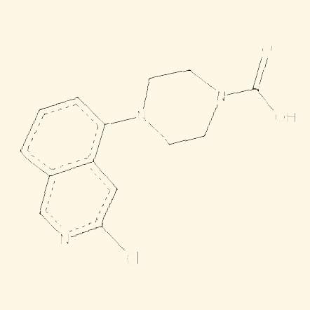 O=C(O)N1CCN(c2cccc3cnc(Cl)cc23)CC1